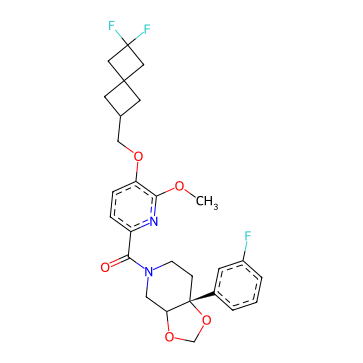 COc1nc(C(=O)N2CC[C@]3(c4cccc(F)c4)OCOC3C2)ccc1OCC1CC2(C1)CC(F)(F)C2